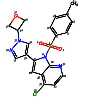 Cc1ccc(S(=O)(=O)n2c(-c3cnn(C4COC4)c3)cc3c(Cl)ccnc32)cc1